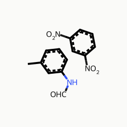 Cc1cccc(NC=O)c1.O=[N+]([O-])c1cccc([N+](=O)[O-])c1